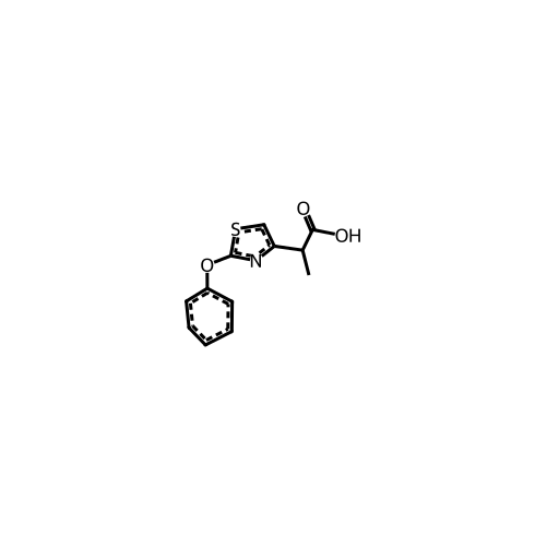 CC(C(=O)O)c1csc(Oc2ccccc2)n1